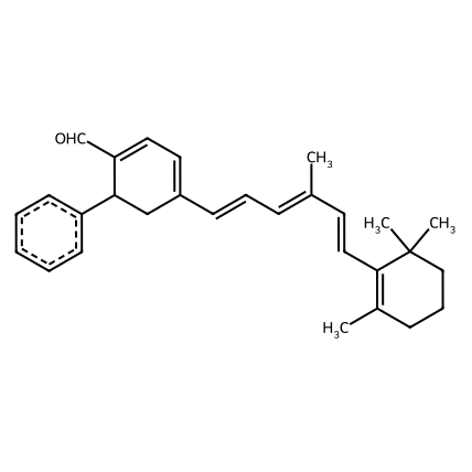 CC(C=CC1=C(C)CCCC1(C)C)=CC=CC1=CC=C(C=O)C(c2ccccc2)C1